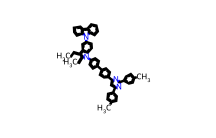 C=C/C=c1\c(=C/C)n(-c2ccc(-c3ccc(-c4cc(-c5ccc(C)cc5)nc(-c5ccc(C)cc5)n4)cc3)cc2)c2ccc(-n3c4ccccc4c4ccccc43)cc12